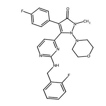 Cn1c(=O)c(-c2ccc(F)cc2)c(-c2ccnc(NCc3ccccc3F)n2)n1N1CCOCC1